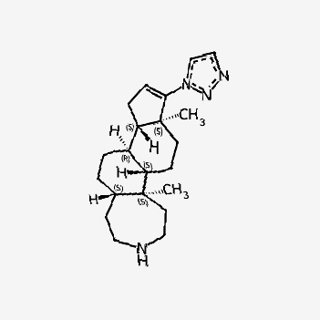 C[C@]12CCNCC[C@@H]1CC[C@@H]1[C@@H]2CC[C@]2(C)C(n3ccnn3)=CC[C@@H]12